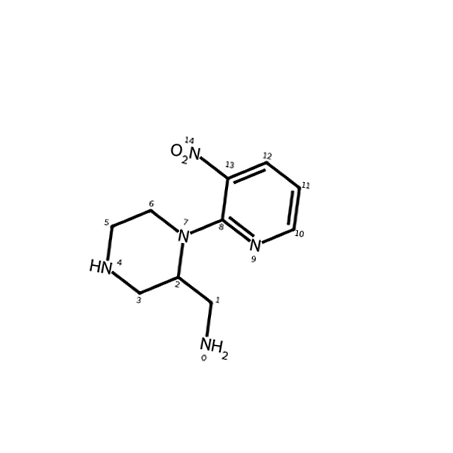 NCC1CNCCN1c1ncccc1[N+](=O)[O-]